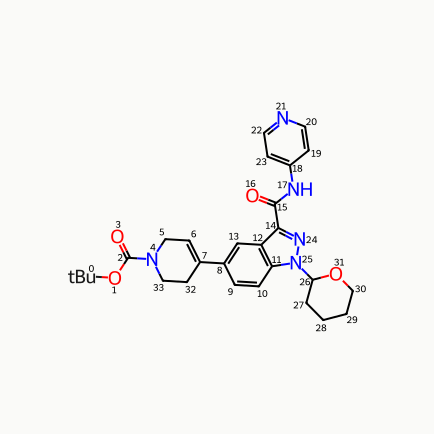 CC(C)(C)OC(=O)N1CC=C(c2ccc3c(c2)c(C(=O)Nc2ccncc2)nn3C2CCCCO2)CC1